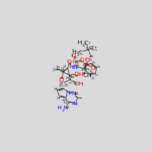 CCC(C)(C)COC(=O)[C@H](C)N[P@](=O)(Oc1ccccc1)OC1[C@@]2(CF)O[C@@H](c3ccc4c(N)ncnn34)[C@H](O)[C@@]12O